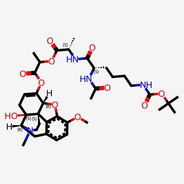 COc1ccc2c3c1O[C@H]1C(OC(=O)C(C)OC(=O)[C@H](C)NC(=O)[C@H](CCCCNC(=O)OC(C)(C)C)NC(C)=O)=CC[C@@]4(O)[C@@H](C2)N(C)CC[C@]314